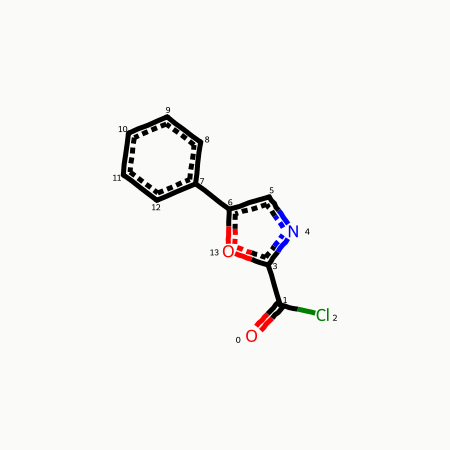 O=C(Cl)c1ncc(-c2ccccc2)o1